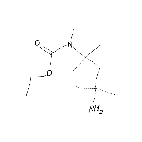 CCOC(=O)N(C)C(C)(C)CC(C)(C)N